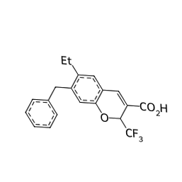 CCc1cc2c(cc1Cc1ccccc1)OC(C(F)(F)F)C(C(=O)O)=C2